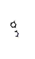 C/C(=C\C(=O)Nc1cccc(C(F)(F)F)c1)C(=O)O